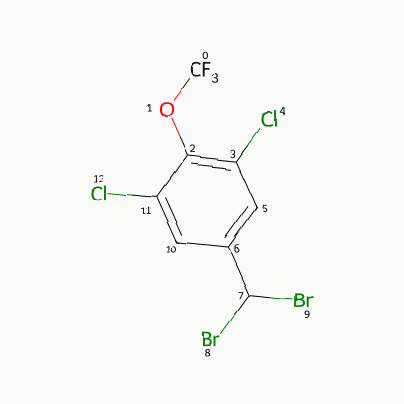 FC(F)(F)Oc1c(Cl)cc(C(Br)Br)cc1Cl